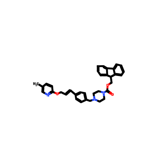 Cc1ccc(OC/C=C/c2ccc(CN3CCN(C(=O)OCC4c5ccccc5-c5ccccc54)CC3)cc2)nc1